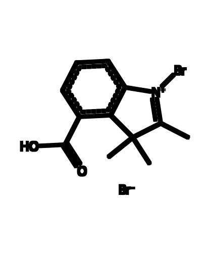 CC1=[N+](Br)c2cccc(C(=O)O)c2C1(C)C.[Br-]